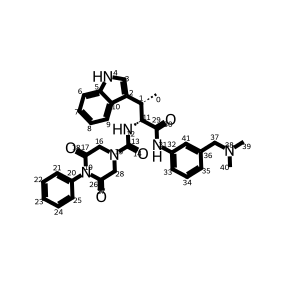 C[C@@H](c1c[nH]c2ccccc12)[C@@H](NC(=O)N1CC(=O)N(c2ccccc2)C(=O)C1)C(=O)Nc1cccc(CN(C)C)c1